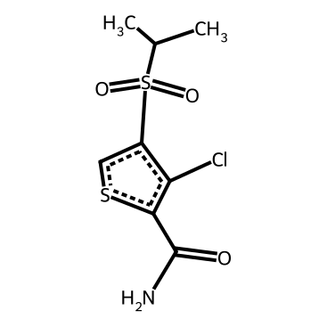 CC(C)S(=O)(=O)c1csc(C(N)=O)c1Cl